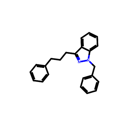 c1ccc(CCCc2nn(Cc3ccccc3)c3ccccc23)cc1